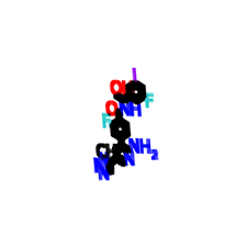 Cn1nncc1-c1cnc(N)c(-c2ccc(C(=O)NC(CO)c3cc(F)cc(I)c3)c(F)c2)c1